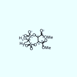 COC(=O)C1OS(=O)(=O)C(C)(C)S(=O)(=O)OC1C(=O)OC